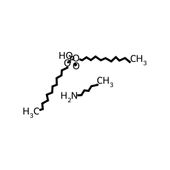 CCCCCCCCCCCCOP(=O)(O)OCCCCCCCCCCCC.CCCCCCN